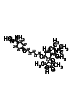 CCCC(C)(Oc1cc(OCCCCCOc2ccc(C(N)=NO)cc2)ccc1C(=O)N(C(C)C)C(C)C)C(=O)O